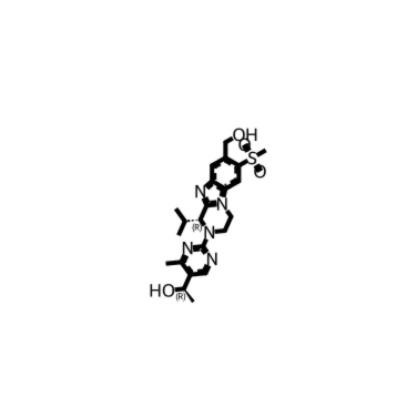 Cc1nc(N2CCn3c(nc4cc(CO)c(S(C)(=O)=O)cc43)[C@H]2C(C)C)ncc1[C@@H](C)O